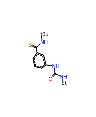 CCNC(=O)Nc1cccc(C(=S)NC(C)(C)C)c1